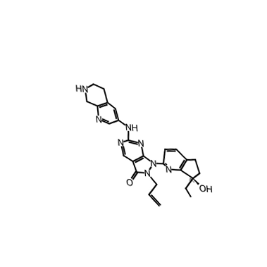 C=CCn1c(=O)c2cnc(Nc3cnc4c(c3)CCNC4)nc2n1-c1ccc2c(n1)[C@@](O)(CC)CC2